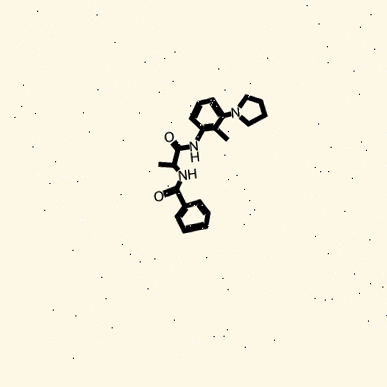 Cc1c(NC(=O)C(C)NC(=O)c2ccccc2)cccc1N1CCCC1